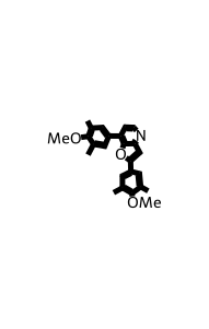 COc1c(C)cc(-c2cc3nccc(-c4cc(C)c(OC)c(C)c4)c3o2)cc1C